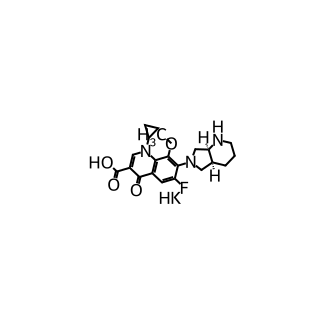 COc1c(N2C[C@@H]3CCCN[C@@H]3C2)c(F)cc2c(=O)c(C(=O)O)cn(C3CC3)c12.[KH]